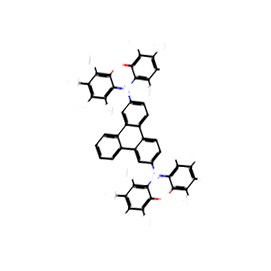 [2H]c1c([2H])c([2H])c2c(c1[2H])Oc1c([2H])c([2H])c([2H])c([2H])c1N2c1ccc2c3ccc(N4c5c([2H])c([2H])c([2H])c([2H])c5Oc5c([2H])c([2H])c([2H])c([2H])c54)cc3c3ccccc3c2c1